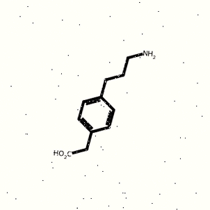 NCCCc1ccc(CC(=O)O)cc1